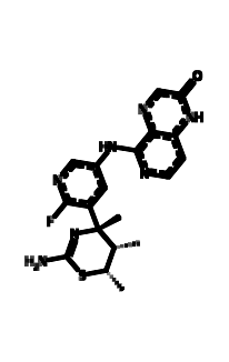 C[C@@H]1SC(N)=N[C@](C)(c2cc(Nc3nccc4[nH]c(=O)cnc34)cnc2F)[C@@H]1C